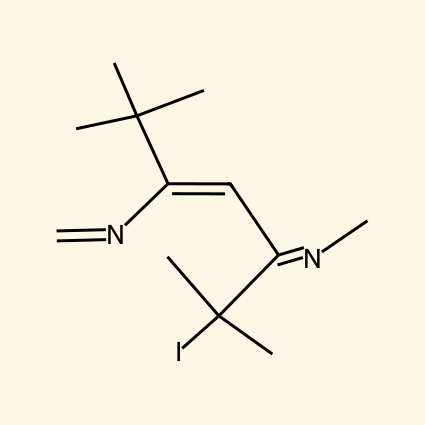 C=N/C(=C\C(=N/C)C(C)(C)I)C(C)(C)C